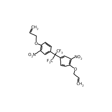 C=CCOc1ccc(C(c2ccc(OCC=C)c([N+](=O)[O-])c2)(C(F)(F)F)C(F)(F)F)cc1[N+](=O)[O-]